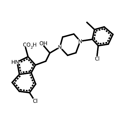 Cc1cccc(Cl)c1N1CCN(C(O)Cc2c(C(=O)O)[nH]c3ccc(Cl)cc23)CC1